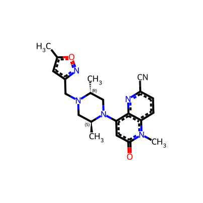 Cc1cc(CN2C[C@H](C)N(c3cc(=O)n(C)c4ccc(C#N)nc34)C[C@H]2C)no1